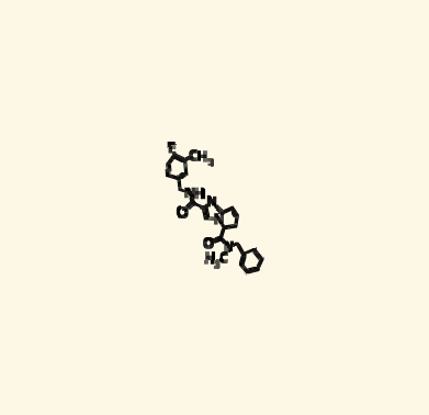 Cc1cc(CNC(=O)c2cn3c(C(=O)N(C)Cc4ccccc4)cccc3n2)ccc1F